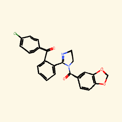 O=C(c1ccc(Cl)cc1)c1ccccc1C1=NCCN1C(=O)c1ccc2c(c1)OCO2